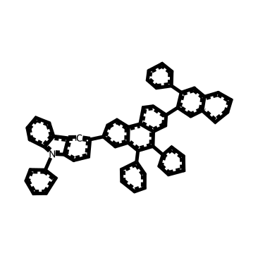 c1ccc(-c2cc3ccccc3cc2-c2ccc3c(c2)c(-c2ccccc2)c(-c2ccccc2)c2cc(-c4ccc5c(c4)c4ccccc4n5-c4ccccc4)ccc23)cc1